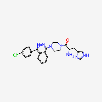 N[C@@H](Cc1c[nH]cn1)C(=O)N1CCN(c2nnc(-c3ccc(Cl)cc3)c3ccccc23)CC1